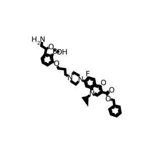 NCC1OB(O)c2c(OCCCN3CCN(c4cc5c(cc4F)c(=O)c(C(=O)OCc4ccccc4)cn5C4CC4)CC3)cccc21